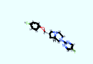 Fc1ccc(OC[C@H]2C[C@H]3CN(c4ncc(F)cn4)CCN3C2)cc1